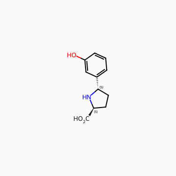 O=C(O)[C@@H]1CC[C@@H](c2cccc(O)c2)N1